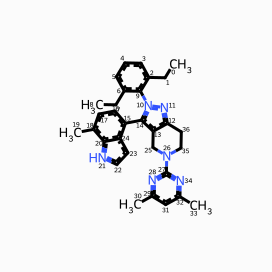 CCc1cccc(CC)c1-n1nc2c(c1-c1ccc(C)c3[nH]ccc13)CN(c1nc(C)cc(C)n1)CC2